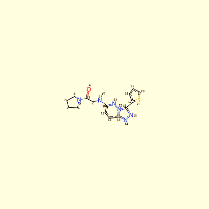 CN(CC(=O)N1CCCC1)c1ccc2nnc(-c3cccs3)n2n1